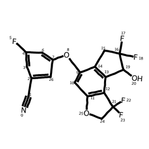 N#Cc1cc(F)cc(Oc2cc3c(c4c2CC(F)(F)C4O)C(F)(F)CO3)c1